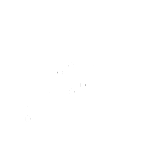 CC1CCCC2(COC3(OC2)OCC2(CCC4OC4C2)CO3)C1